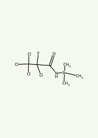 C[Si](C)(C)NC(=O)C(F)(Cl)C(Cl)(Cl)Cl